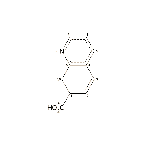 O=C(O)C1C=Cc2cccnc2C1